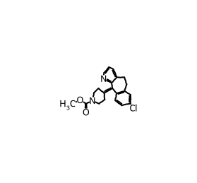 COC(=O)N1CCC(=C2c3ccc(Cl)cc3CCc3cccnc32)CC1